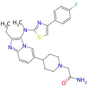 CCc1nc2ccc(C3CCN(CC(N)=O)CC3)cn2c1N(C)c1nc(-c2ccc(F)cc2)cs1